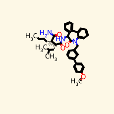 CCCC[C@H](C(N)=O)[C@@H](CC(C)C)C(=O)NC1C(=O)N(Cc2cccc(-c3ccc(OC)cc3)c2)c2ccccc2-c2ccccc21